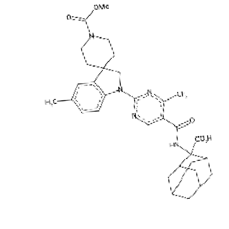 COC(=O)N1CCC2(CC1)CN(c1ncc(C(=O)NC3(C(=O)O)C4CC5CC(C4)CC3C5)c(C(F)(F)F)n1)c1ccc(C)cc12